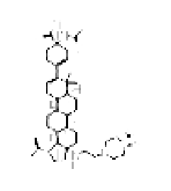 C=C(C)[C@@H]1CC[C@]2(NCCN3CCS(=O)(=O)CC3)CC[C@]3(C)[C@H](CC[C@@H]4[C@@]5(C)CC=C(C6=CCC(NC(C)=O)(C(=O)O)CC6)C(C)(C)[C@@H]5CC[C@]43C)[C@@H]12